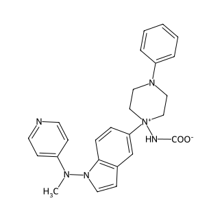 CN(c1ccncc1)n1ccc2cc([N+]3(NC(=O)[O-])CCN(c4ccccc4)CC3)ccc21